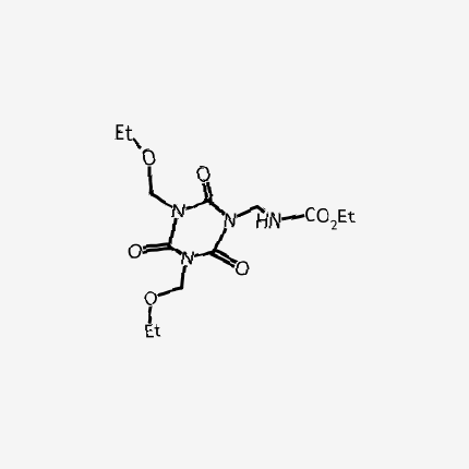 CCOCn1c(=O)n(CNC(=O)OCC)c(=O)n(COCC)c1=O